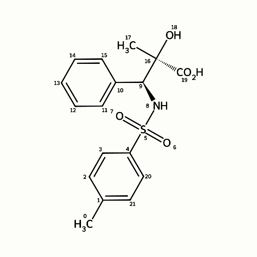 Cc1ccc(S(=O)(=O)N[C@@H](c2ccccc2)[C@@](C)(O)C(=O)O)cc1